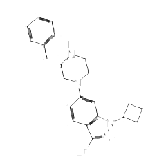 CCc1nn(C2CCC2)c2cc(N3CCN[C@@H](Cc4ccccc4)C3)ccc12